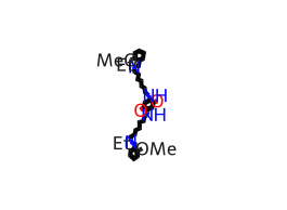 CCN(CCCCCCCNC1=CC(=O)C(NCCCCCCCN(CC)Cc2ccccc2OC)=CC1=O)Cc1ccccc1OC